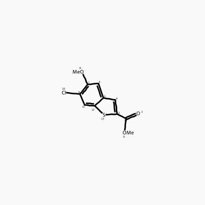 COC(=O)c1cc2cc(OC)c(Cl)cc2s1